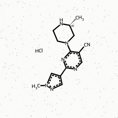 C[C@@H]1CN(c2nc(-c3cnn(C)c3)ncc2C#N)CCN1.Cl